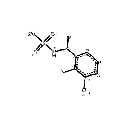 Cc1c([C@H](C)NS(=O)(=S)C(C)(C)C)cccc1C(F)(F)F